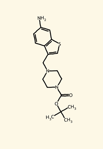 CC(C)(C)OC(=O)N1CCN(Cc2csc3cc(N)ccc23)CC1